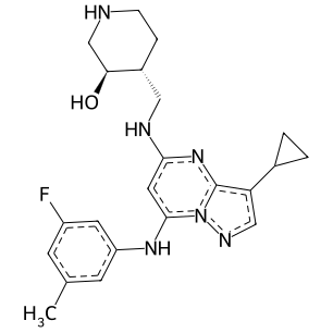 Cc1cc(F)cc(Nc2cc(NC[C@H]3CCNC[C@@H]3O)nc3c(C4CC4)cnn23)c1